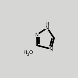 O.c1nc[nH]n1